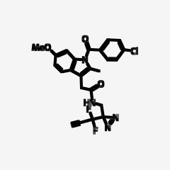 C#CC(F)(F)C1(CNC(=O)Cc2c(C)n(C(=O)c3ccc(Cl)cc3)c3cc(OC)ccc23)N=N1